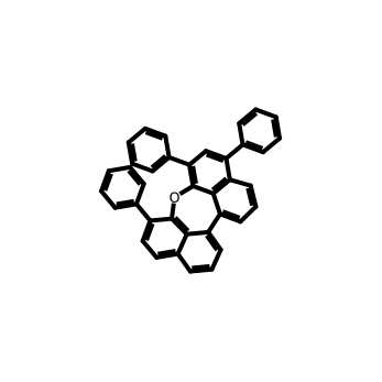 c1ccc(-c2cc(-c3ccccc3)c3oc4c(-c5ccccc5)ccc5cccc(c6cccc2c36)c54)cc1